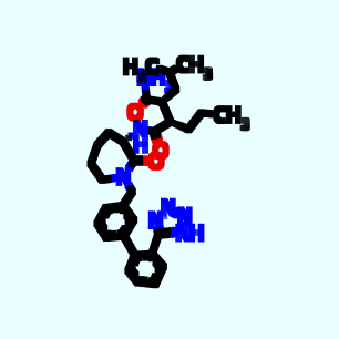 CCC[C@@H](C(=O)N[C@H]1CCCCN(Cc2cccc(-c3ccccc3-c3nnn[nH]3)c2)C1=O)[C@H](CC(C)C)C(N)=O